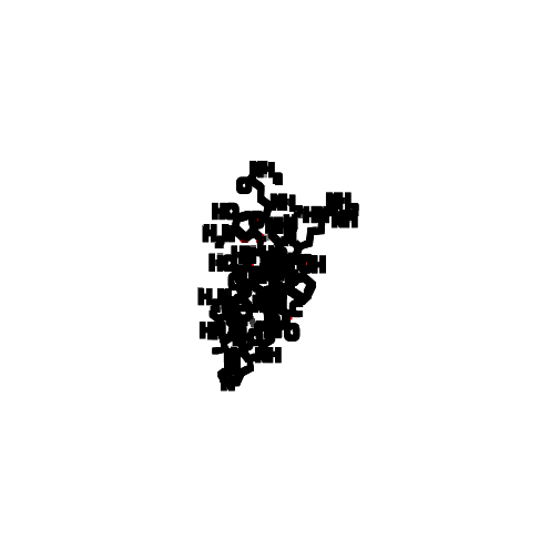 C[C@H](NC(=O)[C@H](C)NC(=O)[C@H](Cc1cnc[nH]1)NC(=O)CNC(=O)[C@H](Cc1ccc(O)cc1)NC(=O)[C@H](CCC(N)=O)NC(=O)[C@H](CC(=O)O)NC(=O)[C@H](Cc1ccc(O)cc1)NC(=O)[C@H](C)NC(=O)[C@H](C)NC(=O)[C@H](CCCNC(=N)N)NC(=O)[C@H](CCCCN)NC(=O)[C@@H](N)CCC(N)=O)C(=O)N[C@@H](Cc1ccccc1)C(=O)N[C@@H](CCC(=O)O)C(=O)O